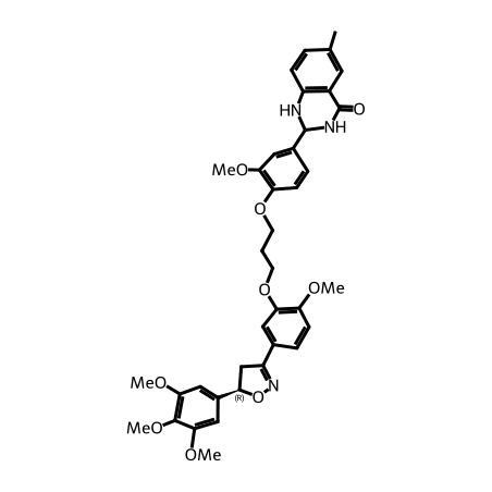 COc1cc(C2NC(=O)c3cc(C)ccc3N2)ccc1OCCCOc1cc(C2=NO[C@@H](c3cc(OC)c(OC)c(OC)c3)C2)ccc1OC